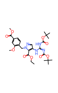 CCOC(=O)c1c(N/C(=N\C(=O)OC(C)(C)C)NC(=O)OC(C)(C)C)cnn1Cc1ccc(C(=O)OC)cc1OC